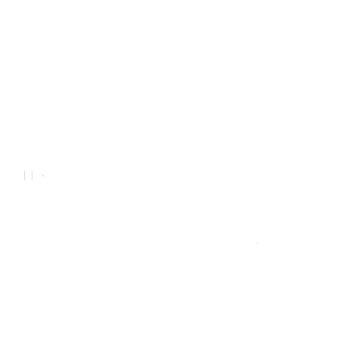 CCCC1=C(Cl)C(=O)c2cc(F)ccc2C1=O